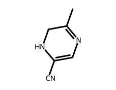 CC1=NC=C(C#N)NC1